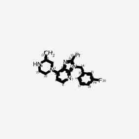 CC1CN(c2ccnc3c2nc(C(C)C)n3Cc2cccc(F)c2)CCN1